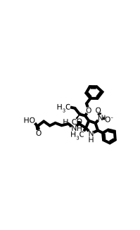 CC[C@H](C)C(OCc1ccccc1)C1C([N+](=O)[O-])C(c2ccccc2)NC1(C)C(=O)NCCCCCC(=O)O